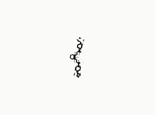 C=C[Si](CC)(CC)c1ccc(C(=O)OOC2=C(OOC(=O)c3ccc([Si](C=C)(CC)CC)cc3)CCCC2)cc1